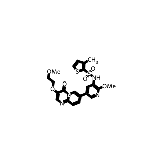 COCCOc1cnc2ccc(-c3cnc(OC)c(NS(=O)(=O)c4sccc4C)c3)cn2c1=O